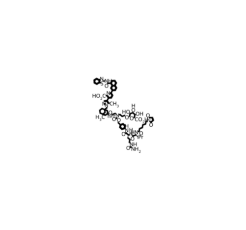 CCCC1(OCCN(CCCO[C@H]2O[C@@H](C(=O)O)[C@H](O)[C@@H](O)[C@@H]2O)C(=O)OCc2ccc(NC(=O)[C@H](CCCNC(N)=O)NC(=O)[C@@H](NC(=O)CCCCCN3C(=O)C=CC3=O)C(C)C)cc2)CC2(C)CCCC(Cn3ncc(-c4ccc(-c5ccc6cccc(C(=O)Nc7nc8ccccc8s7)c6c5)nc4C(=O)O)c3C)(C2)C1